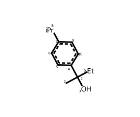 CCC(C)(O)c1ccc(C(C)C)cc1